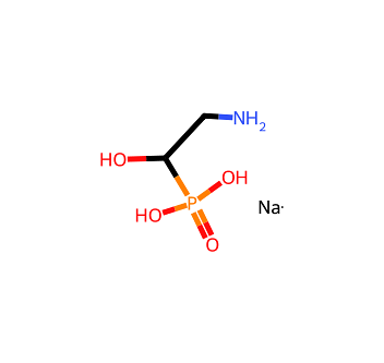 NCC(O)P(=O)(O)O.[Na]